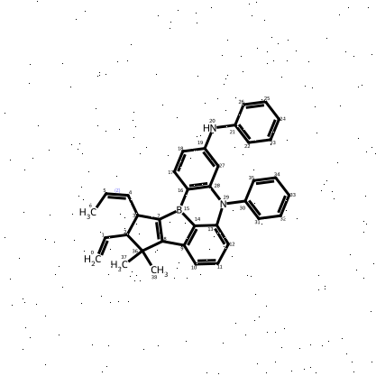 C=CC1C(/C=C\C)C2=C(c3cccc4c3B2c2ccc(Nc3ccccc3)cc2N4c2ccccc2)C1(C)C